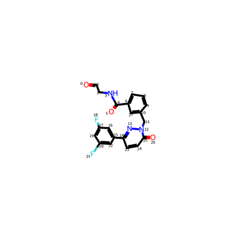 O=CCNC(=O)c1cccc(Cn2nc(-c3cc(F)cc(F)c3)ccc2=O)c1